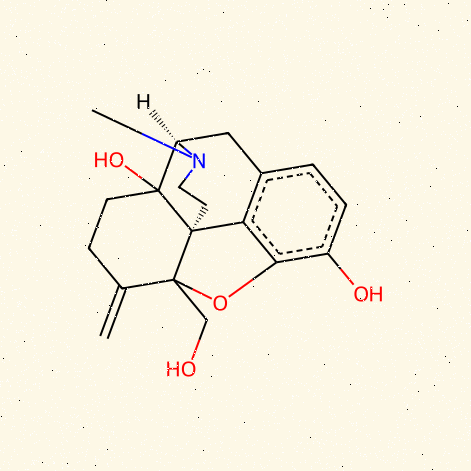 C=C1CCC2(O)[C@H]3Cc4ccc(O)c5c4[C@@]2(CCN3C)C1(CO)O5